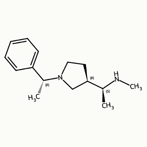 CN[C@@H](C)[C@@H]1CCN([C@H](C)c2ccccc2)C1